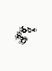 CCc1cc(N2CCN(C3COC3)CC2C)ccc1Nc1ncc(C(F)(F)F)c(-c2cc3c(s2)C(=O)N(C)CCS3(=O)=O)n1